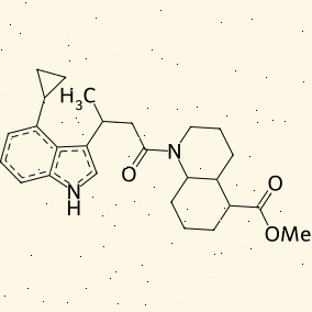 COC(=O)C1CCCC2C1CCCN2C(=O)CC(C)c1c[nH]c2cccc(C3CC3)c12